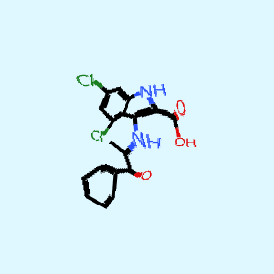 CC(Nc1c(C(=O)O)[nH]c2cc(Cl)cc(Cl)c12)C(=O)c1ccccc1